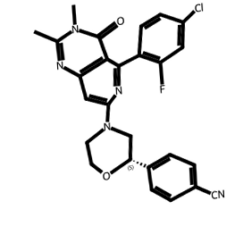 Cc1nc2cc(N3CCO[C@@H](c4ccc(C#N)cc4)C3)nc(-c3ccc(Cl)cc3F)c2c(=O)n1C